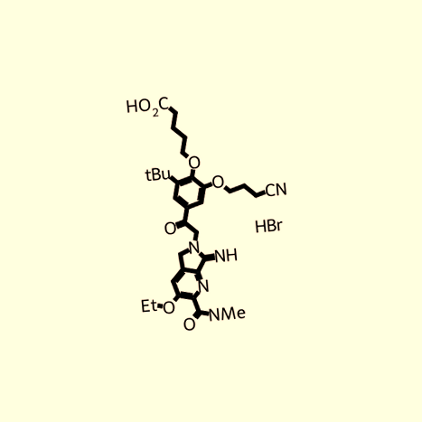 Br.CCOc1cc2c(nc1C(=O)NC)C(=N)N(CC(=O)c1cc(OCCCC#N)c(OCCCCC(=O)O)c(C(C)(C)C)c1)C2